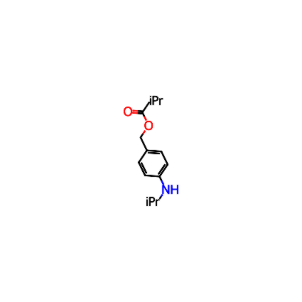 CC(C)Nc1ccc(COC(=O)C(C)C)cc1